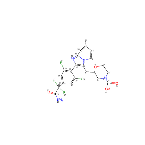 Cc1ccn2c(CC3CN(C(=O)O)CCO3)c(-c3c(F)cc(C(F)(F)C(N)=O)cc3F)nc2c1